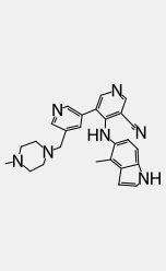 Cc1c(Nc2c(C#N)cncc2-c2cncc(CN3CCN(C)CC3)c2)ccc2[nH]ccc12